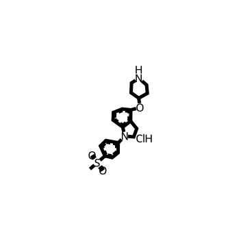 CS(=O)(=O)c1ccc(N2CCc3c(OC4CCNCC4)cccc32)cc1.Cl